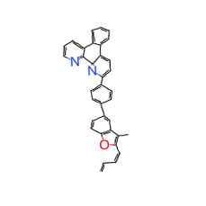 C=C/C=C\c1oc2ccc(-c3ccc(-c4ccc5c6ccccc6c6cccnc6c5n4)cc3)cc2c1C